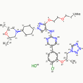 COCCOCCOc1nn([C@H]2CC[C@H](N3C[C@@H](C)O[C@@H](C)C3)CC2)cc1Nc1ncc(-c2ccc(Cl)c(O[C@@H](C)Cn3cnnn3)c2)cn1.Cl